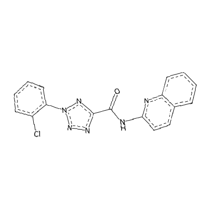 O=C(Nc1ccc2ccccc2n1)c1nnn(-c2ccccc2Cl)n1